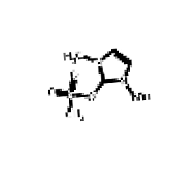 CCCCN1C=CN(C)C1OS(C)(=O)=O